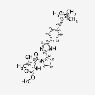 COC(=O)NC(C(=O)N1CCC[C@H]1c1ncc(-c2ccc(C#C[Si](C)(C)C)cc2)[nH]1)C(C)C